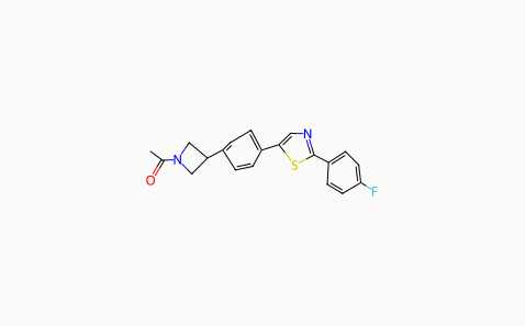 CC(=O)N1CC(c2ccc(-c3cnc(-c4ccc(F)cc4)s3)cc2)C1